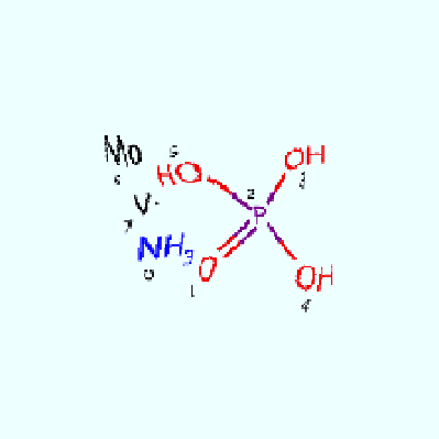 N.O=P(O)(O)O.[Mo].[V]